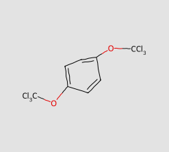 ClC(Cl)(Cl)Oc1ccc(OC(Cl)(Cl)Cl)cc1